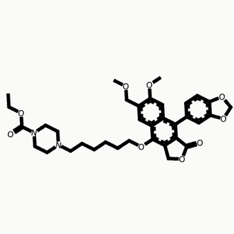 CCOC(=O)N1CCN(CCCCCCOc2c3c(c(-c4ccc5c(c4)OCO5)c4cc(OC)c(COC)cc24)C(=O)OC3)CC1